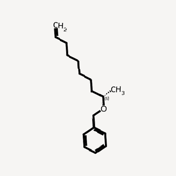 C=CCCCCCC[C@H](C)OCc1ccccc1